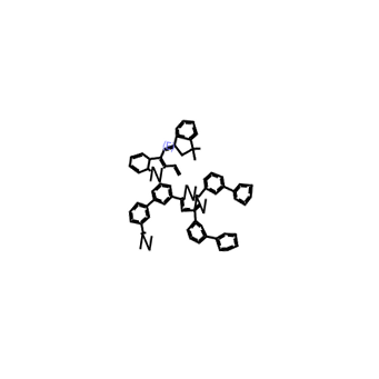 C=CC1=C(/C=C2\CC(C)(C)c3ccccc32)C2C=CC=CC2N1c1cc(-c2cccc(C#N)c2)cc(-c2cc(-c3cccc(-c4ccccc4)c3)nc(-c3cccc(-c4ccccc4)c3)n2)c1